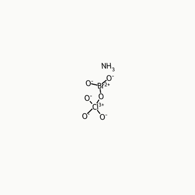 N.[O-][Br+2]([O-])O[Cl+3]([O-])([O-])[O-]